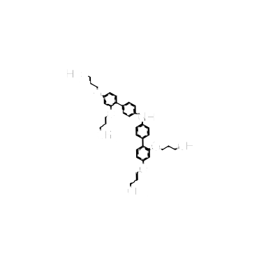 CCCCOc1ccc(-c2ccc(Nc3ccc(-c4ccc(OCCCC)cc4OCCCC)cc3)cc2)c(OCCCC)c1